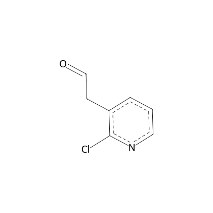 O=CCc1cccnc1Cl